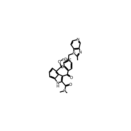 CCCCCCCCCCOC(=O)c1cccc2[nH]c(C(=O)N(C)C)c(C(=O)c3ccc(Cn4c(C)nc5cnccc54)cc3)c12